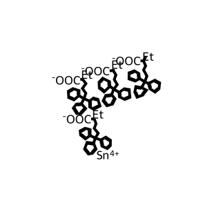 CCC(CCCC(c1ccccc1)(c1ccccc1)c1ccccc1)C(=O)[O-].CCC(CCCC(c1ccccc1)(c1ccccc1)c1ccccc1)C(=O)[O-].CCC(CCCC(c1ccccc1)(c1ccccc1)c1ccccc1)C(=O)[O-].CCC(CCCC(c1ccccc1)(c1ccccc1)c1ccccc1)C(=O)[O-].[Sn+4]